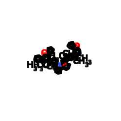 CC1(C)c2cc(N(c3ccc4c(c3)C(C)(C)c3c5c(c6oc7ccccc7c6c3-4)-c3ccccc3C5(C)C)c3ccccc3-c3ccccc3)ccc2-c2cc3c(cc21)-c1c(ccc2oc4ccccc4c12)C3(C)C